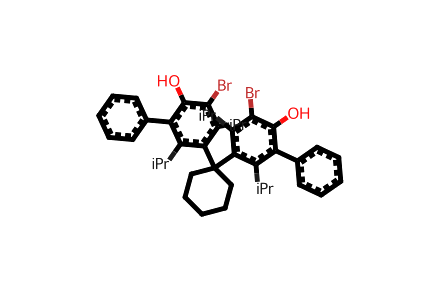 CC(C)c1c(Br)c(O)c(-c2ccccc2)c(C(C)C)c1C1(c2c(C(C)C)c(Br)c(O)c(-c3ccccc3)c2C(C)C)CCCCC1